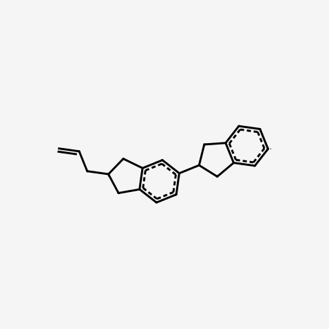 C=CC[C]1Cc2ccc(C3Cc4c[c]ccc4C3)cc2C1